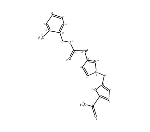 CC(=O)c1ccc(Cn2ccc(NC(=O)OCc3ccccc3C)n2)o1